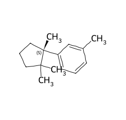 Cc1cccc([C@@]2(C)CCCC2(C)C)c1